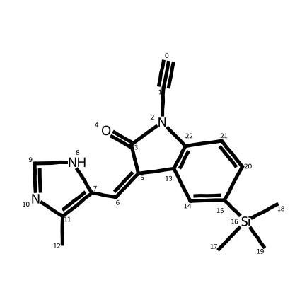 C#CN1C(=O)C(=Cc2[nH]cnc2C)c2cc([Si](C)(C)C)ccc21